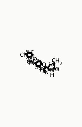 CCN1Cc2c(Oc3ccc(NS(=O)(=O)c4cccc(Cl)c4)cc3F)ccnc2NC1=O